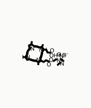 CC1=Cc2cc3[nH]c(cc4nc(cc5[nH]c(cc1n2)c(C)c5CCC(=O)O)C(CCC(=O)OCCn1c([N+](=O)[O-])cnc1C)=C4C)cc3C